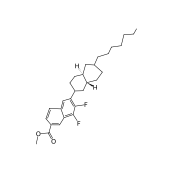 CCCCCCCC1CC[C@@H]2CC(c3cc4ccc(C(=O)OC)cc4c(F)c3F)CC[C@H]2C1